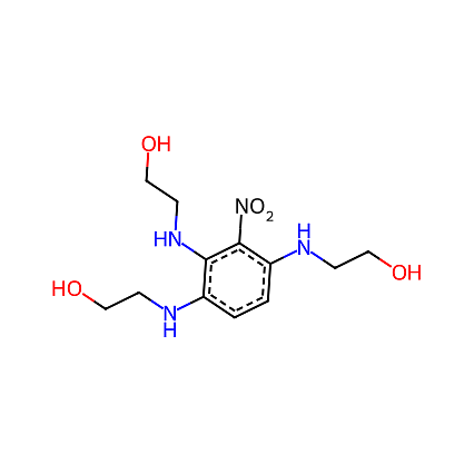 O=[N+]([O-])c1c(NCCO)ccc(NCCO)c1NCCO